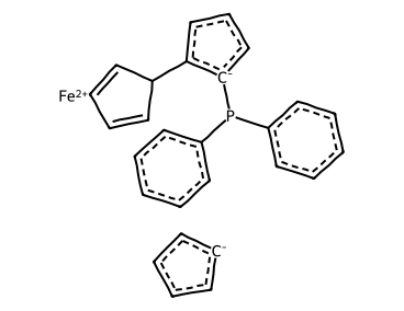 C1=CC(c2ccc[c-]2P(c2ccccc2)c2ccccc2)C=C1.[Fe+2].c1cc[cH-]c1